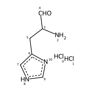 Cl.Cl.NC(C=O)Cc1c[nH]cn1